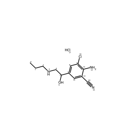 CCCNCC(O)c1cc(Cl)c(N)c(C#N)c1.Cl